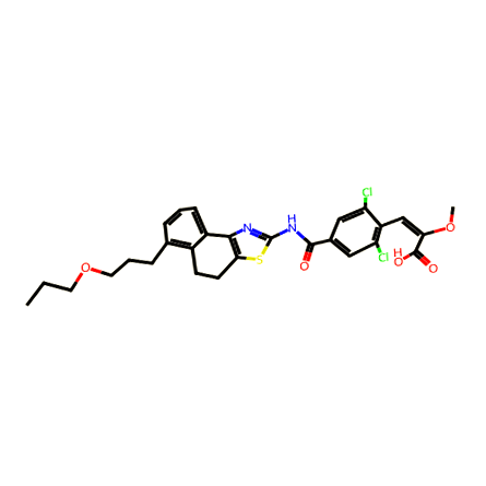 CCCOCCCc1cccc2c1CCc1sc(NC(=O)c3cc(Cl)c(/C=C(/OC)C(=O)O)c(Cl)c3)nc1-2